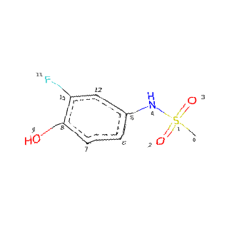 CS(=O)(=O)Nc1ccc(O)c(F)c1